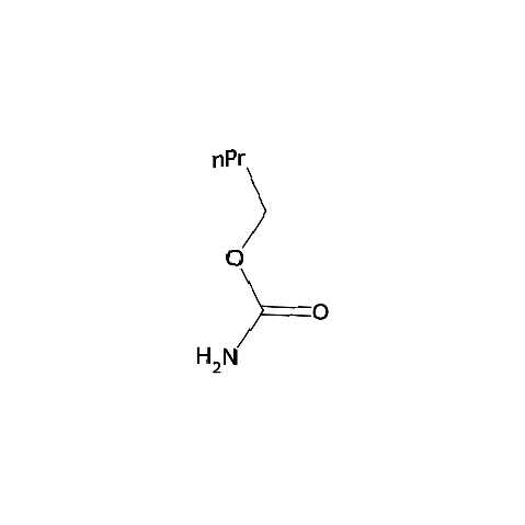 CCCCOC(N)=O